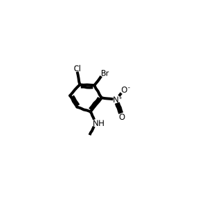 CNc1ccc(Cl)c(Br)c1[N+](=O)[O-]